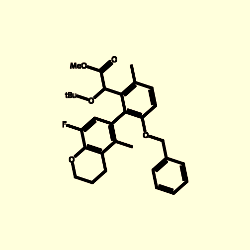 COC(=O)C(OC(C)(C)C)c1c(C)ccc(OCc2ccccc2)c1-c1cc(F)c2c(c1C)CCCO2